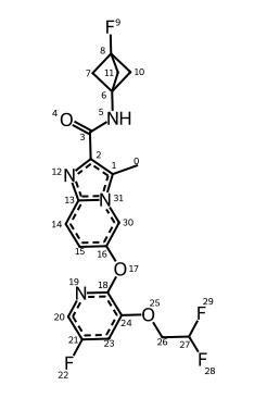 Cc1c(C(=O)NC23CC(F)(C2)C3)nc2ccc(Oc3ncc(F)cc3OCC(F)F)cn12